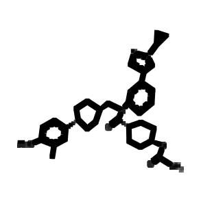 COc1ccc([C@H]2CC[C@H](CN(c3cccc(-c4cnn(C5CC5)c4)c3)C(=O)[C@H]3CC[C@H](OC(N)=O)CC3)CC2)cc1C